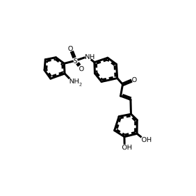 Nc1ccccc1S(=O)(=O)Nc1ccc(C(=O)C=Cc2ccc(O)c(O)c2)cc1